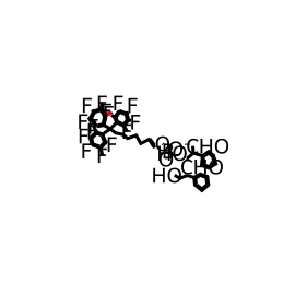 O=[C+]C(CO)c1ccccc1.O=[C+]C(CO)c1ccccc1.[O-]B([O-])OC=CCCCCCC(c1c(F)c(F)c(F)c(F)c1F)(c1c(F)c(F)c(F)c(F)c1F)c1c(F)c(F)c(F)c(F)c1F